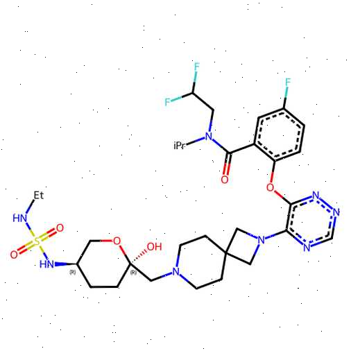 CCNS(=O)(=O)N[C@@H]1CC[C@](O)(CN2CCC3(CC2)CN(c2ncnnc2Oc2ccc(F)cc2C(=O)N(CC(F)F)C(C)C)C3)OC1